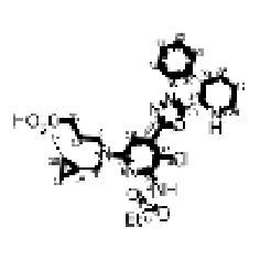 CCS(=O)(=O)Nc1nc(N(CCCC(=O)O)C[C@H]2C[C@@H]2C)cc(-c2nnc([C@H]3NCCC[C@H]3c3ccccc3)o2)c1Cl